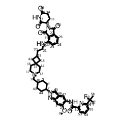 COc1cc2nn(C3CCC(CN4CCC5(CC4)CC(CCNc4cccc6c4C(=O)N([C@H]4CCC(=O)NC4=O)C6=O)C5)CC3)cc2cc1NC(=O)c1cccc(C(C)(F)F)n1